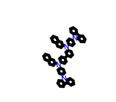 c1cc(-c2ccc(N(c3ccc(-n4c5ccccc5c5ccccc54)cc3)c3ccc4ccccc4c3)cc2)cc(N(c2ccc(-n3c4ccccc4c4ccccc43)cc2)c2ccc3ccccc3c2)c1